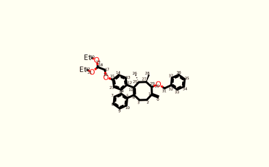 C=C1CC/C(c2ccccc2)=C(/c2ccc(OCC(OCC)OCC)cc2)[C@H](C)[C@@H](C)C1OCc1ccccc1